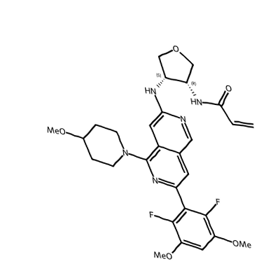 C=CC(=O)N[C@H]1COC[C@H]1Nc1cc2c(N3CCC(OC)CC3)nc(-c3c(F)c(OC)cc(OC)c3F)cc2cn1